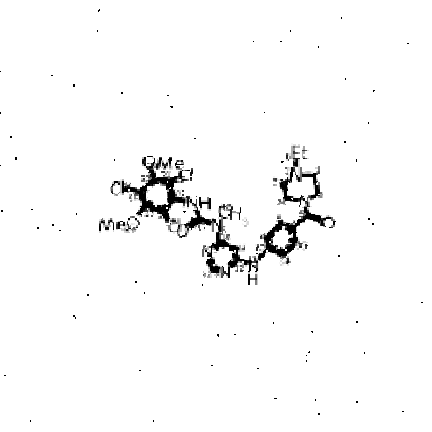 CCN1CCN(C(=O)c2ccc(Nc3cc(N(C)C(=O)Nc4c(Cl)c(OC)c(Cl)c(OC)c4Cl)ncn3)cc2)CC1